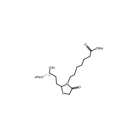 CCCCC[C@@H](CCC1SCC(=O)N1CCCCCCC(=O)OC)OC(C)=O